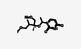 COC[C@@](C)(OC(C)n1ccc(=O)[nH]c1=O)C(C)COI